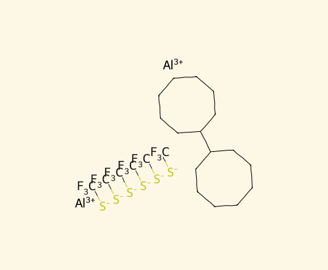 C1CCCC(C2CCCCCCC2)CCC1.FC(F)(F)[S-].FC(F)(F)[S-].FC(F)(F)[S-].FC(F)(F)[S-].FC(F)(F)[S-].FC(F)(F)[S-].[Al+3].[Al+3]